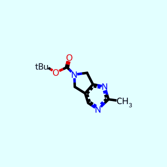 Cc1ncc2c(n1)CN(C(=O)OC(C)(C)C)C2